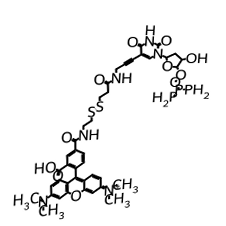 CN(C)c1ccc2c(-c3ccc(C(=O)NCCSSCCC(=O)NCC#Cc4cn(C5CC(O)C(OOP(P)P)O5)c(=O)[nH]c4=O)cc3C(=O)O)c3ccc(=[N+](C)C)cc-3oc2c1